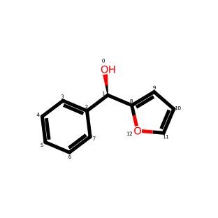 O[C@H](c1ccccc1)c1ccco1